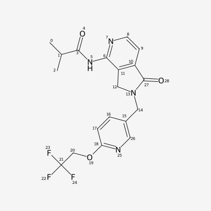 CC(C)C(=O)Nc1nccc2c1CN(Cc1ccc(OCC(F)(F)F)nc1)C2=O